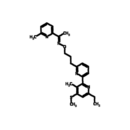 CCc1cc(SC)c(C)c(-c2cccc(CCCO/N=C(\C)c3cccc(C)n3)n2)n1